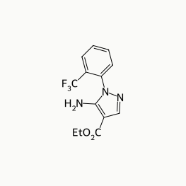 CCOC(=O)c1cnn(-c2ccccc2C(F)(F)F)c1N